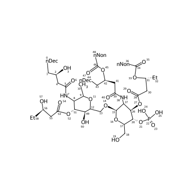 CCCCCCCCCCC[C@@H](O)CC(=O)NC1C(C)OC(CO[C@@H]2OC(CO)[C@@H](OP(=O)(O)O)[C@H](OC(=O)C[C@@H](CC)OC(=O)CCCCCCCCC)C2NC(=O)C[C@@H](CCCCCCCCCCC)OC(=O)CCCCCCCCC)[C@@H](O)[C@@H]1OC(=O)C[C@H](O)CC